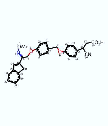 CON=C(COc1ccc(COc2ccc(C(C#N)CC(=O)O)cc2)cc1)C1=Cc2ccccc2C1